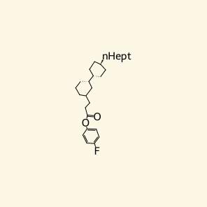 CCCCCCC[C@H]1CC[C@H]([C@H]2CCCC(CCC(=O)Oc3ccc(F)cc3)C2)CC1